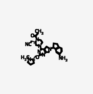 C=CC(=O)N1CCN(c2nc(OC[C@@H]3CCCN3C)nc3c2CN(C2CCc4ccc(N)cc42)C3)C[C@@H]1CC#N